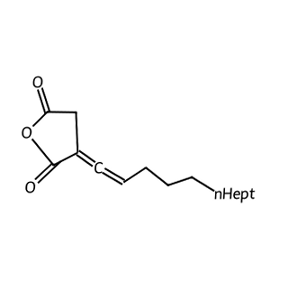 CCCCCCCCCCC=C=C1CC(=O)OC1=O